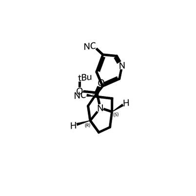 CC(C)(C)OC(=O)N1[C@@H]2CC[C@H]1C[C@@](C#N)(c1cncc(C#N)c1)C2